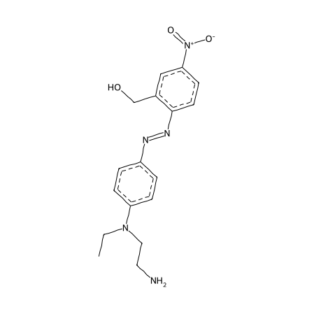 CCN(CCN)c1ccc(N=Nc2ccc([N+](=O)[O-])cc2CO)cc1